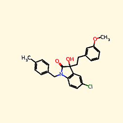 COc1cccc(CCC2(O)C(=O)N(Cc3ccc(C)cc3)c3ccc(Cl)cc32)c1